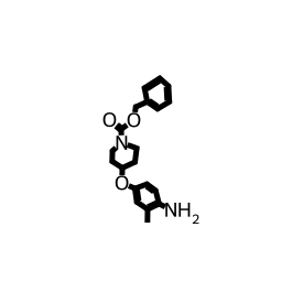 Cc1cc(OC2CCN(C(=O)OCc3ccccc3)CC2)ccc1N